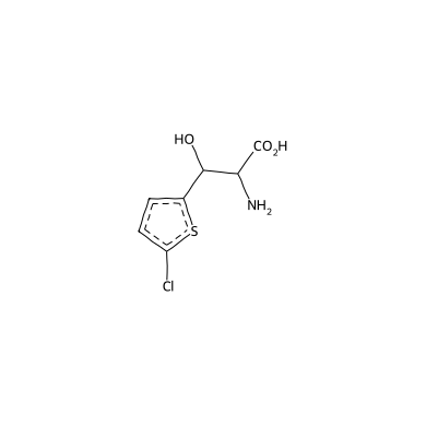 NC(C(=O)O)C(O)c1ccc(Cl)s1